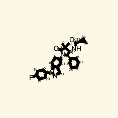 CC1(C)C(=O)N(c2ccc3c(cnn3-c3ccc(F)cc3)c2)[C@H](c2ccccc2)[C@H]1NC(=O)C1CC1